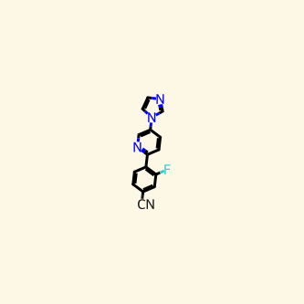 N#Cc1ccc(-c2ccc(-n3ccnc3)cn2)c(F)c1